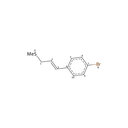 CSC/C=C/c1ccc(Br)cc1